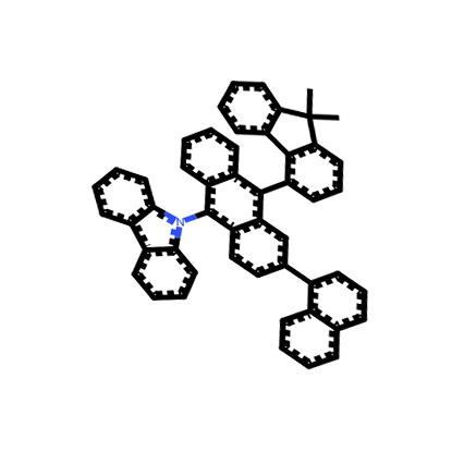 CC1(C)c2ccccc2-c2c(-c3c4ccccc4c(-n4c5ccccc5c5ccccc54)c4ccc(-c5cccc6ccccc56)cc34)cccc21